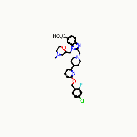 CN1CCOC(Cn2c(CN3CCC(c4cccc(OCc5ccc(Cl)cc5F)n4)CC3)nc3ccc(C(=O)O)cc32)C1